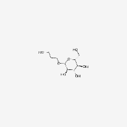 OCCCOC1O[C@H](CO)[C@@H](O)[C@H](O)[C@H]1O